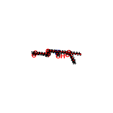 CCCCCCCCC(CCCCCCCC)OC(=O)CCCCCCCN(CCO)CCCCCC1OC1OC(C)CCCCCCCCOC(C)=O